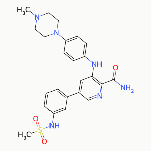 CN1CCN(c2ccc(Nc3cc(-c4cccc(NS(C)(=O)=O)c4)cnc3C(N)=O)cc2)CC1